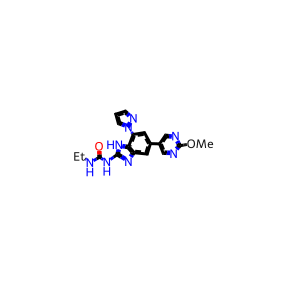 CCNC(=O)Nc1nc2cc(-c3cnc(OC)nc3)cc(-n3cccn3)c2[nH]1